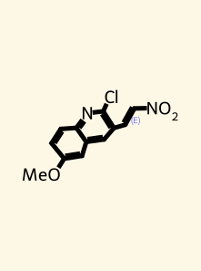 COc1ccc2nc(Cl)c(/C=C/[N+](=O)[O-])cc2c1